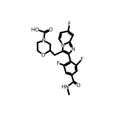 CNC(=O)c1cc(F)c(-c2nc3cc(F)ccn3c2CC2CN(C(=O)O)CCO2)c(F)c1